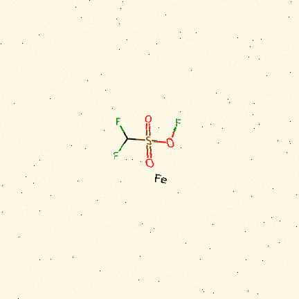 O=S(=O)(OF)C(F)F.[Fe]